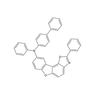 c1ccc(-c2ccc(N(c3ccccc3)c3ccc4oc5ccc6nc(-c7ccccc7)oc6c5c4c3)cc2)cc1